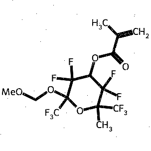 C=C(C)C(=O)OC1C(F)(F)C(C)(C(F)(F)F)OC(OCOC)(C(F)(F)F)C1(F)F